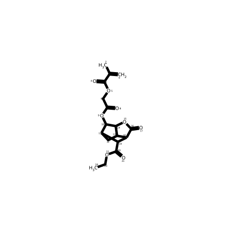 C=C(C)C(=O)OCC(=O)OC1C2CC3C1OC(=O)C3C2C(=O)OCC